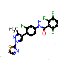 Cc1nn(-c2nccs2)cc1-c1ccc(NC(=O)c2c(F)ccc(F)c2F)cc1F